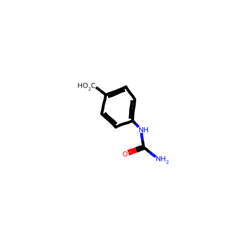 NC(=O)Nc1ccc(C(=O)O)cc1